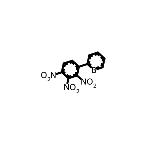 O=[N+]([O-])c1ccc(-c2bcccc2)c([N+](=O)[O-])c1[N+](=O)[O-]